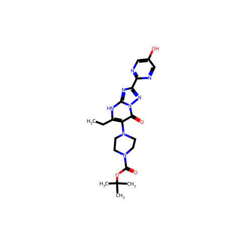 CCc1[nH]c2nc(-c3ncc(O)cn3)nn2c(=O)c1N1CCN(C(=O)OC(C)(C)C)CC1